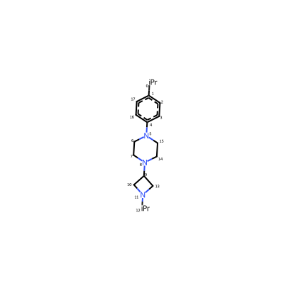 CC(C)c1ccc(N2CCN(C3CN(C(C)C)C3)CC2)cc1